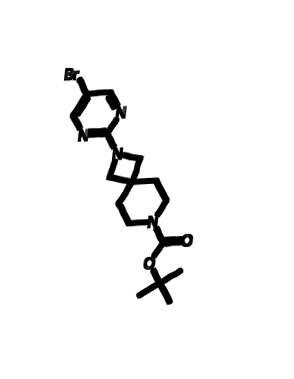 CC(C)(C)OC(=O)N1CCC2(CC1)CN(c1ncc(Br)cn1)C2